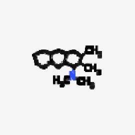 Cc1cc2cc3ccccc3cc2c(N(C)C)c1C